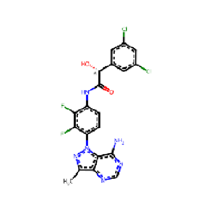 Cc1nn(-c2ccc(NC(=O)[C@H](O)c3cc(Cl)cc(Cl)c3)c(F)c2F)c2c(N)ncnc12